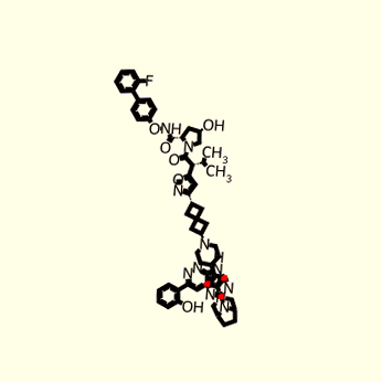 CC(C)[C@@H](C(=O)N1C[C@H](O)C[C@H]1C(=O)NOc1ccc(-c2ccccc2F)cc1)c1cc([C@H]2CC3(C2)C[C@H](N2CCC(c4cnc(N5C6CCC5CN(c5c[nH]c7nnc(-c8ccccc8O)cc57)C6)nc4)CC2)C3)no1